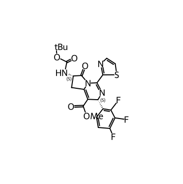 COC(=O)C1=C2C[C@H](NC(=O)OC(C)(C)C)C(=O)N2C(c2nccs2)=N[C@@H]1c1ccc(F)c(F)c1F